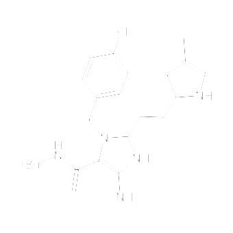 C=C(NC(C)(C)C)C1=C(N)NC(CCC2CC(C)=CN2)N1Cc1ccc(Cl)cc1